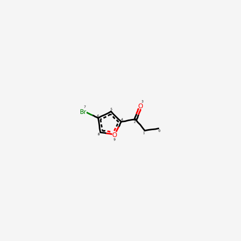 CCC(=O)c1cc(Br)co1